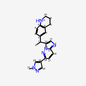 CC(c1ccc2c(c1)CCCN2)c1cnc2ccc(-c3cnn(C)c3)nn12